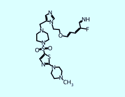 CN1CCN(c2ncc(S(=O)(=O)N3CCN(Cc4cncn4CCO/C=C/C=C(/F)C=N)CC3)s2)CC1